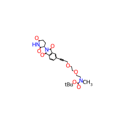 CN(CCOCCOCC#Cc1ccc2c(c1)C(=O)N(C1CCC(=O)NC1=O)C2=O)C(=O)OC(C)(C)C